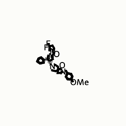 COc1ccc(CN2CCC3(CCN(C[C@H]4CN(C(=O)N5CCC(F)(F)C5)C[C@@H]4c4ccccc4)CC3)C2=O)cc1